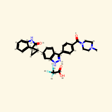 CN1CCN(C(=O)c2ccc(-c3n[nH]c4cc([C@@H]5C[C@@]56C(=O)Nc5ccccc56)ccc34)cc2)CC1.O=C(O)C(F)(F)F